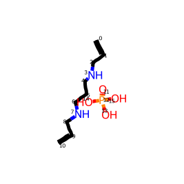 C=CCNCCCNCC=C.O=P(O)(O)O